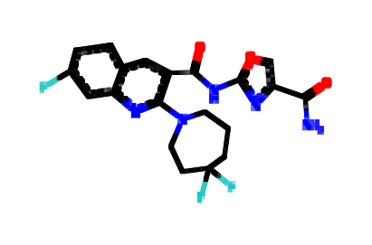 NC(=O)c1coc(NC(=O)c2cc3ccc(F)cc3nc2N2CCCC(F)(F)CC2)n1